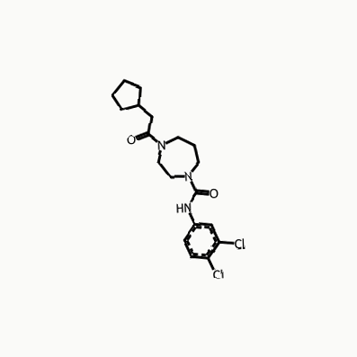 O=C(CC1CCCC1)N1CCCN(C(=O)Nc2ccc(Cl)c(Cl)c2)CC1